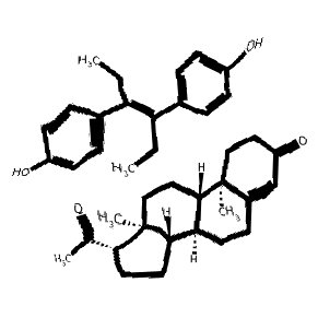 CC(=O)[C@H]1CC[C@H]2[C@@H]3CCC4=CC(=O)CC[C@]4(C)[C@H]3CC[C@]12C.CC/C(=C(/CC)c1ccc(O)cc1)c1ccc(O)cc1